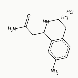 Cl.Cl.NC(=O)CC1NCCc2ccc(N)cc21